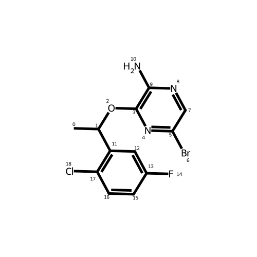 CC(Oc1nc(Br)cnc1N)c1cc(F)ccc1Cl